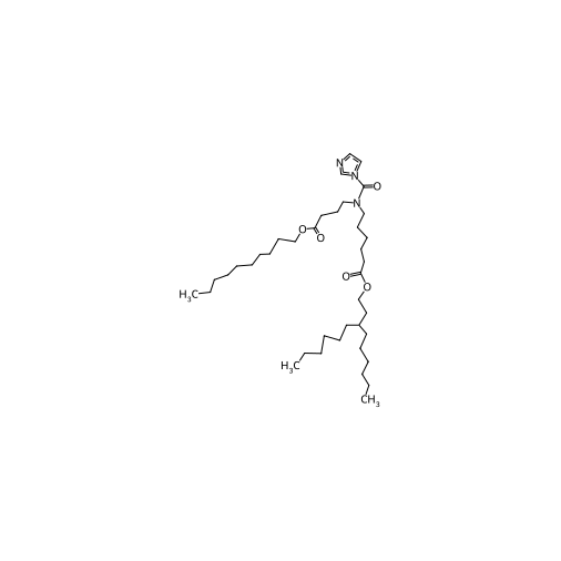 CCCCCCCCCCOC(=O)CCCN(CCCCCC(=O)OCCC(CCCCCC)CCCCCC)C(=O)n1ccnc1